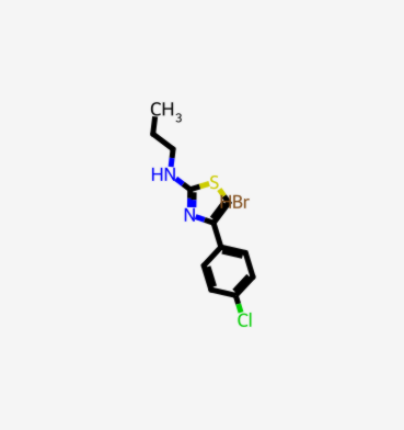 Br.CCCNc1nc(-c2ccc(Cl)cc2)cs1